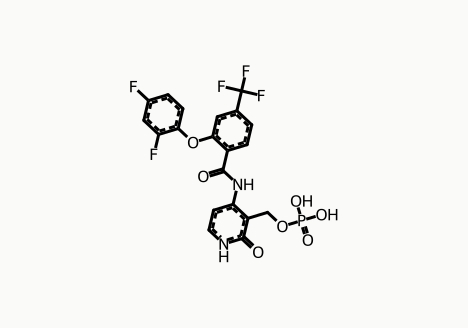 O=C(Nc1cc[nH]c(=O)c1COP(=O)(O)O)c1ccc(C(F)(F)F)cc1Oc1ccc(F)cc1F